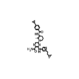 C[C@@H]1[C@H](NC(=O)c2ccc(C3CC3)cc2)CCCN1c1cnc(C(N)=O)c(Nc2cnn(CCN(C)C)c2)n1